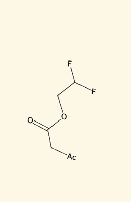 CC(=O)CC(=O)OCC(F)F